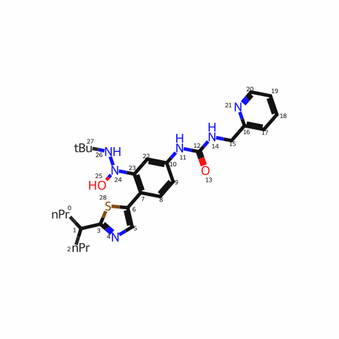 CCCC(CCC)c1ncc(-c2ccc(NC(=O)NCc3ccccn3)cc2N(O)NC(C)(C)C)s1